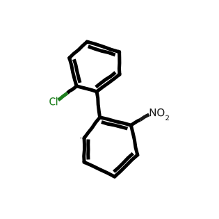 O=[N+]([O-])c1ccc[c]c1-c1ccccc1Cl